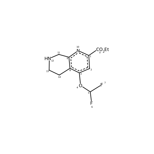 CCOC(=O)c1cc(OC(F)F)c2c(n1)CNCC2